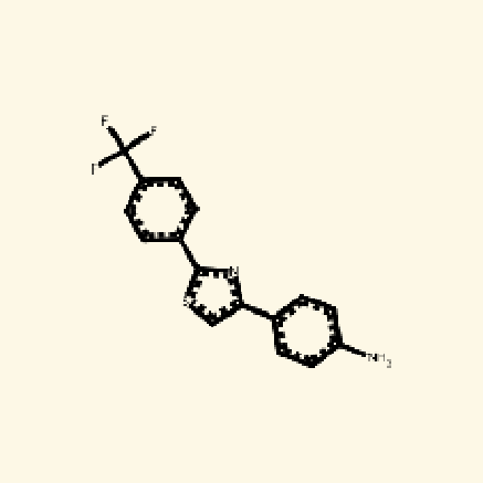 Nc1ccc(-c2csc(-c3ccc(C(F)(F)F)cc3)n2)cc1